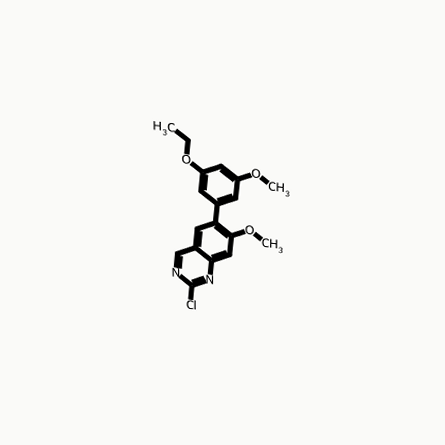 CCOc1cc(OC)cc(-c2cc3cnc(Cl)nc3cc2OC)c1